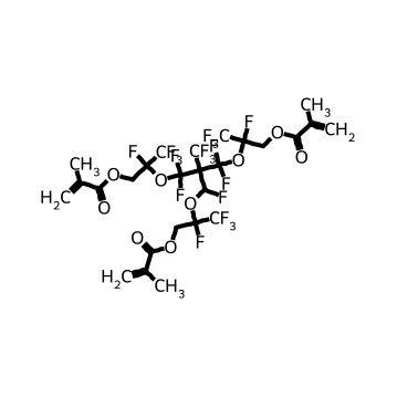 C=C(C)C(=O)OCC(F)(OC(F)C(C(F)(F)F)(C(F)(F)OC(F)(COC(=O)C(=C)C)C(F)(F)F)C(F)(F)OC(F)(COC(=O)C(=C)C)C(F)(F)F)C(F)(F)F